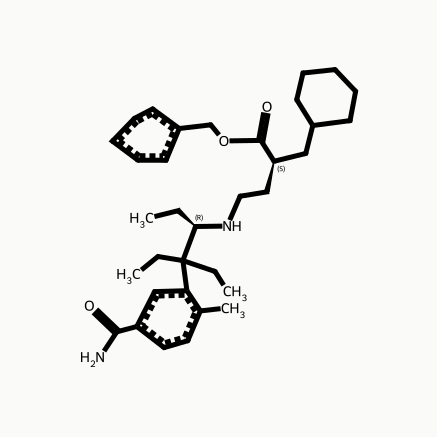 CC[C@@H](NCC[C@H](CC1CCCCC1)C(=O)OCc1ccccc1)C(CC)(CC)c1cc(C(N)=O)ccc1C